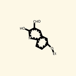 CCOc1ccc2nc(O)c(C=O)cc2c1